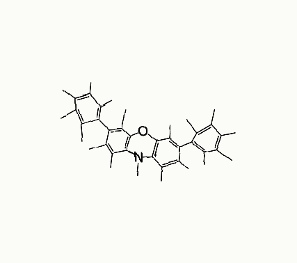 Cc1c(C)c(C)c(-c2c(C)c(C)c3c(c2C)Oc2c(C)c(-c4c(C)c(C)c(C)c(C)c4C)c(C)c(C)c2N3C)c(C)c1C